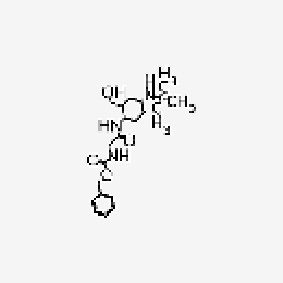 CC(C)(C)N[C@@H]1CC[C@H](NC(=O)CNC(=O)OCc2ccccc2)[C@@H](CO)C1